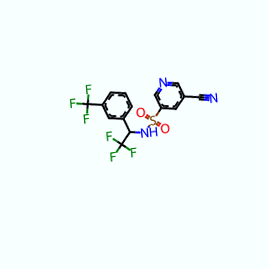 N#Cc1cncc(S(=O)(=O)NC(c2cccc(C(F)(F)F)c2)C(F)(F)F)c1